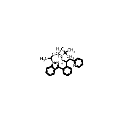 CC(C)n1nc(-c2ccccc2C(Cc2ccccn2)N[S@@+]([O-])C(C)(C)C)c2ccccc21